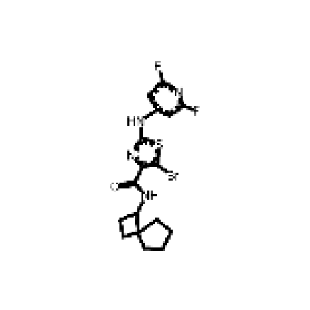 O=C(NC1CCC12CCCC2)c1nc(Nc2cc(F)nc(F)c2)sc1Br